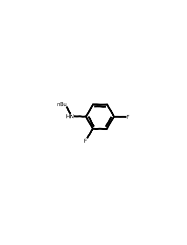 CCCCNc1ccc(F)cc1F